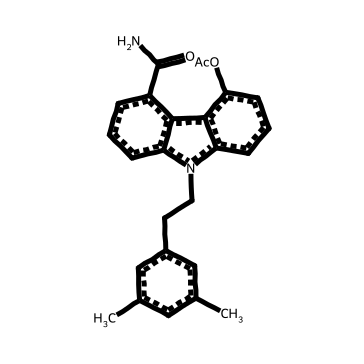 CC(=O)Oc1cccc2c1c1c(C(N)=O)cccc1n2CCc1cc(C)cc(C)c1